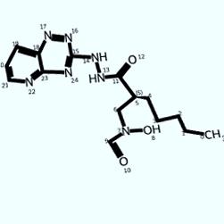 CCCCC[C@@H](CN(O)C=O)C(=O)NNc1nnc2cccnc2n1